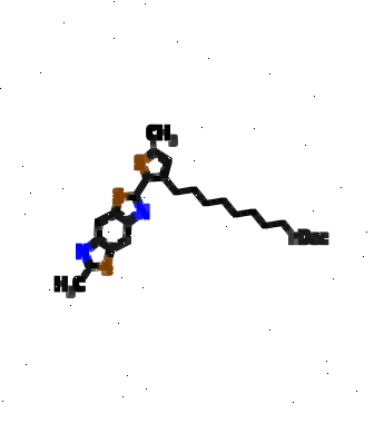 CCCCCCCCCCCCCCCCCCc1cc(C)sc1-c1nc2cc3sc(C)nc3cc2s1